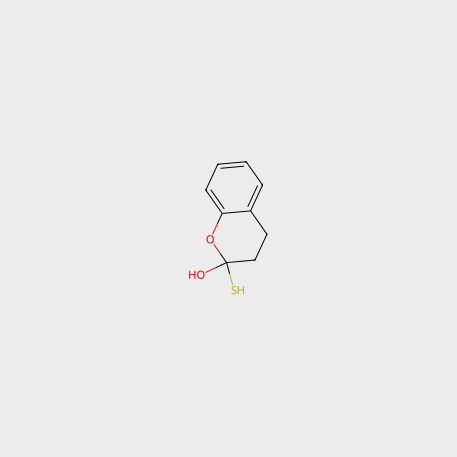 OC1(S)CCc2ccccc2O1